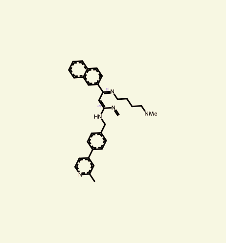 C=N/C(=C\C(=N/CCCCNC)c1ccc2ccccc2c1)NCc1ccc(-c2ccnc(C)c2)cc1